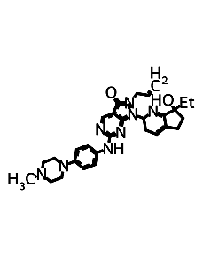 C=CCn1c(=O)c2cnc(Nc3ccc(N4CCN(C)CC4)cc3)nc2n1C1CC=C2CCC(O)(CC)C2=N1